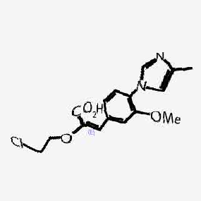 COc1cc(/C=C(/OCCCl)C(=O)O)ccc1-n1cnc(C)c1